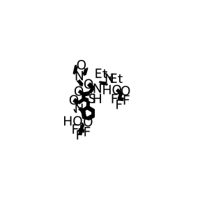 CCN(CC)CCNC(=O)c1sc2c(c1OCCN1CCOCC1)c(=O)n(C)c1ccccc21.O=C(O)C(F)(F)F.O=C(O)C(F)(F)F